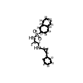 C[C@H](CNC1CC1c1ccccc1)NS(=O)(=O)c1ccc2cnccc2c1